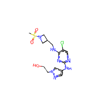 CS(=O)(=O)N1CC(CNc2nc(Nc3cnn(CCO)c3)ncc2Cl)C1